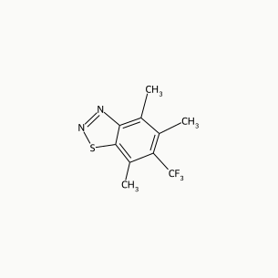 Cc1c(C(F)(F)F)c(C)c2snnc2c1C